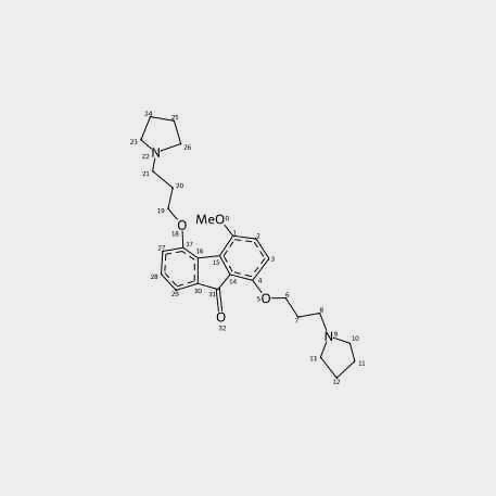 COc1ccc(OCCCN2CCCC2)c2c1-c1c(OCCCN3CCCC3)cccc1C2=O